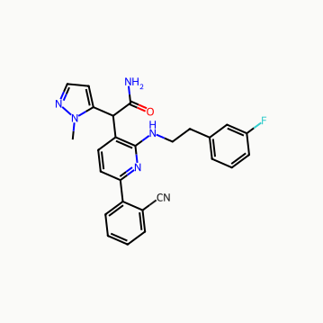 Cn1nccc1C(C(N)=O)c1ccc(-c2ccccc2C#N)nc1NCCc1cccc(F)c1